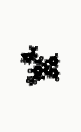 Cn1nc(NS(C)(=O)=O)c2c(Cl)ccc(-c3cc4[nH]c(=O)ccc4nc3[C@H](Cc3cc(F)cc(F)c3)NC(=O)Cn3nc(C(F)F)c4c3C(F)(F)[C@@H]3CC43)c21